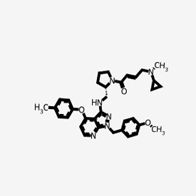 COc1ccc(Cn2nc(NC[C@@H]3CCCN3C(=O)/C=C/CN(C)C3CC3)c3c(Oc4ccc(C)cc4)ccnc32)cc1